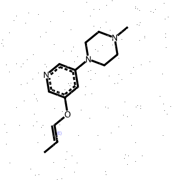 C/C=C/Oc1cncc(N2CCN(C)CC2)c1